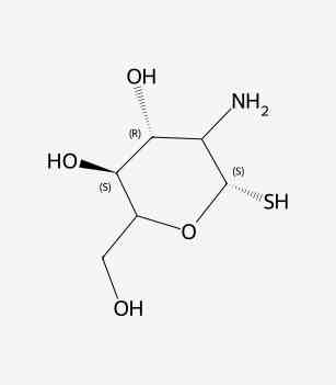 NC1[C@H](S)OC(CO)[C@@H](O)[C@@H]1O